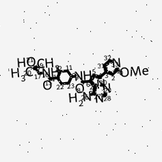 COc1cc(-c2cc(C(=O)NC3CCC(C(=O)NCC(C)(C)O)CC3)c3c(N)ncnn23)ccn1